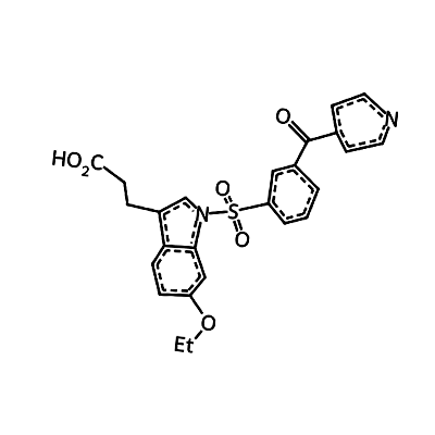 CCOc1ccc2c(CCC(=O)O)cn(S(=O)(=O)c3cccc(C(=O)c4ccncc4)c3)c2c1